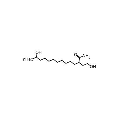 CCCCCCC(O)CCCCCCCCCC(CCO)C(N)=O